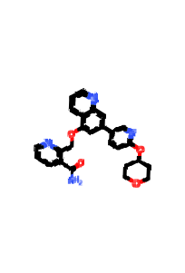 NC(=O)c1cccnc1COc1cc(-c2ccc(OC3CCOCC3)nc2)cc2ncccc12